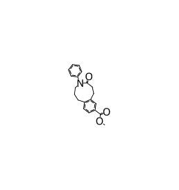 COC(=O)c1ccc2c(c1)CCC(=O)N(c1ccccc1)CCC2